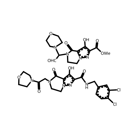 COC(=O)c1nn2c(c1O)C(=O)N(C(C=O)N1CCOCC1)CC2.O=C(NCc1ccc(Cl)c(Cl)c1)c1nn2c(c1O)C(=O)N(CC(=O)N1CCOCC1)CC2